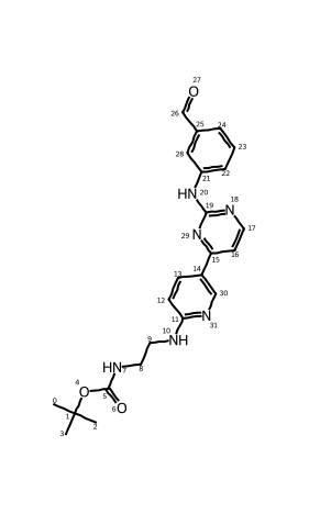 CC(C)(C)OC(=O)NCCNc1ccc(-c2ccnc(Nc3cccc(C=O)c3)n2)cn1